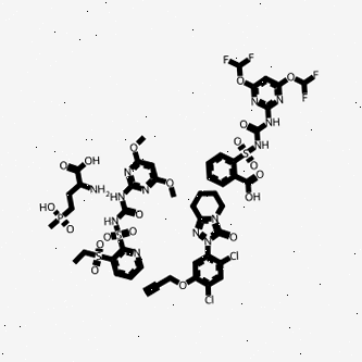 C#CCOc1cc(-n2nc3n(c2=O)CCCC3)c(Cl)cc1Cl.CCS(=O)(=O)c1cccnc1S(=O)(=O)NC(=O)Nc1nc(OC)cc(OC)n1.CP(=O)(O)CCC(N)C(=O)O.O=C(Nc1nc(OC(F)F)cc(OC(F)F)n1)NS(=O)(=O)c1ccccc1C(=O)O